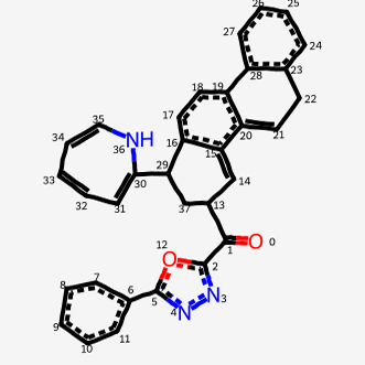 O=C(c1nnc(-c2ccccc2)o1)C1C=c2c(ccc3c2=CCc2ccccc2-3)C(C2=CC=CC=CN2)C1